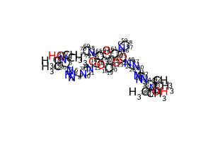 CC1(C)CC(n2cc(CN3CCN(C(=O)COc4cccc(OCC(=O)N5CCN(Cc6cn(C7CC(C)(C)N(O)C(C)(C)C7)nn6)CC5)c4-c4c5ccc(=[N+]6CCCCC6)cc-5oc5cc(N6CCCCC6)ccc45)CC3)nn2)CC(C)(C)N1O